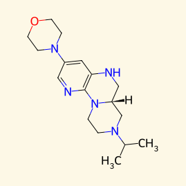 CC(C)N1CCN2c3ncc(N4CCOCC4)cc3NC[C@@H]2C1